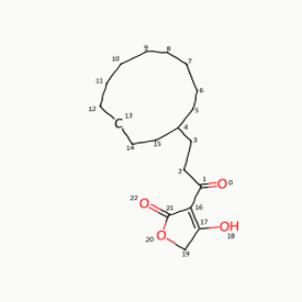 O=C(CCC1CCCCCCCCCCC1)C1=C(O)COC1=O